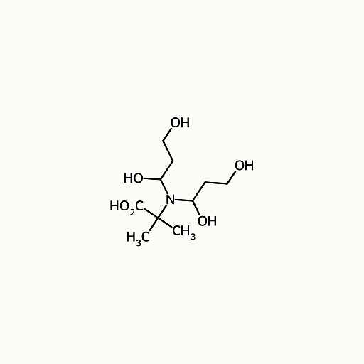 CC(C)(C(=O)O)N(C(O)CCO)C(O)CCO